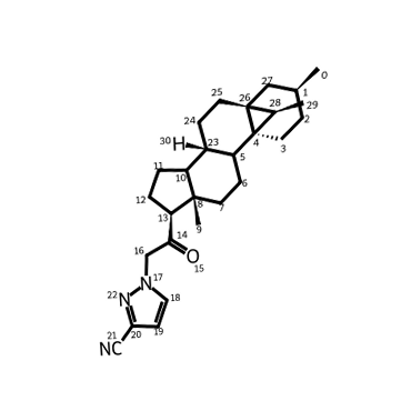 C[C@H]1CC[C@]23C4CC[C@@]5(C)C(CC[C@@H]5C(=O)Cn5ccc(C#N)n5)[C@@H]4CC[C@@]2(C1)[C@H]3C